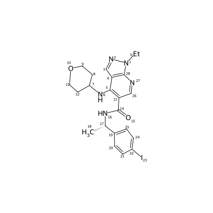 CCn1ncc2c(NC3CCOCC3)c(C(=O)N[C@@H](C)c3ccc(I)cc3)cnc21